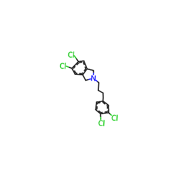 Clc1ccc(CCCN2Cc3cc(Cl)c(Cl)cc3C2)cc1Cl